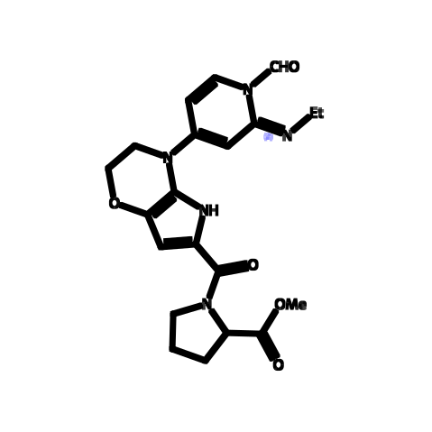 CC/N=c1/cc(N2CCOc3cc(C(=O)N4CCCC4C(=O)OC)[nH]c32)ccn1C=O